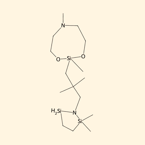 CN1CCO[Si](C)(CC(C)(C)CN2[SiH2]CC[Si]2(C)C)OCC1